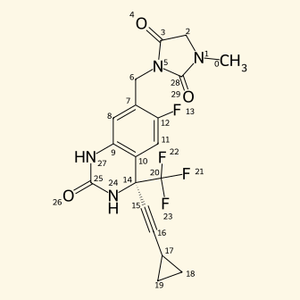 CN1CC(=O)N(Cc2cc3c(cc2F)[C@@](C#CC2CC2)(C(F)(F)F)NC(=O)N3)C1=O